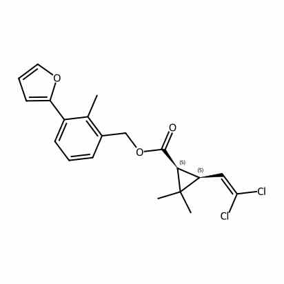 Cc1c(COC(=O)[C@H]2[C@@H](C=C(Cl)Cl)C2(C)C)cccc1-c1ccco1